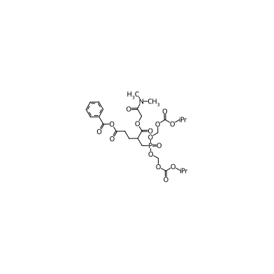 CC(C)OC(=O)OCOP(=O)(CC(CCC(=O)OC(=O)c1ccccc1)C(=O)OCC(=O)N(C)C)OCOC(=O)OC(C)C